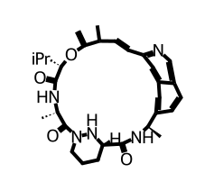 C=C1O[C@@H](C(C)C)C(=O)N[C@@H](C)C(=O)N2CCC[C@H](N2)C(=O)N[C@H](C)c2ccc3cnc(cc3c2)/C=C/C1C